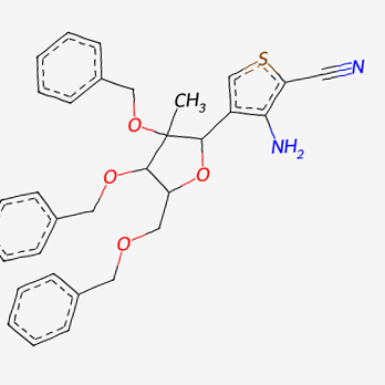 CC1(OCc2ccccc2)C(c2csc(C#N)c2N)OC(COCc2ccccc2)C1OCc1ccccc1